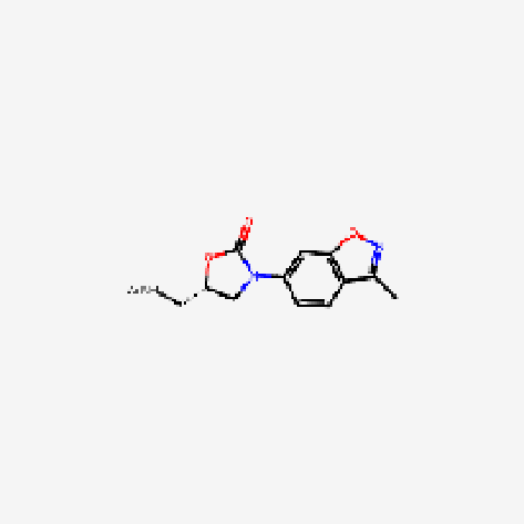 CC(=O)NC[C@H]1CN(c2ccc3c(C)noc3c2)C(=O)O1